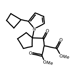 COC(=O)C(C(=O)OC)C(=O)C1(n2cccc2C2CCC2)CCCC1